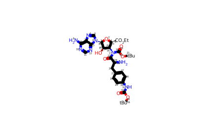 CCOC(=O)[C@H]1O[C@@H](n2cnc3c(N)ncnc32)[C@H](O)[C@@H]1N(C(=O)OC(C)(C)C)C(=O)C(N)Cc1ccc(NC(=O)OC(C)(C)C)cc1